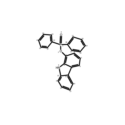 O=P(Oc1cccc2c1[nH]c1ccccc12)(c1ccccc1)c1ccccc1